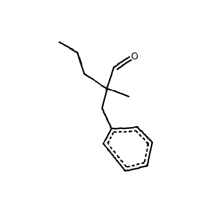 CCCC(C)(C=O)Cc1ccccc1